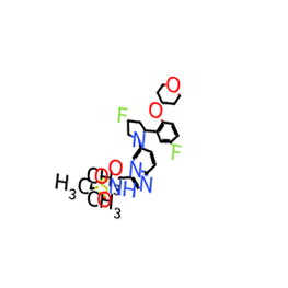 CC(C)(C)S(=O)(=O)NC(=O)c1cnc2ccc(N3CC(F)CC3c3cc(F)ccc3OC3CCOCC3)cn12